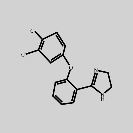 Clc1ccc(Oc2ccccc2C2=NCCN2)cc1Cl